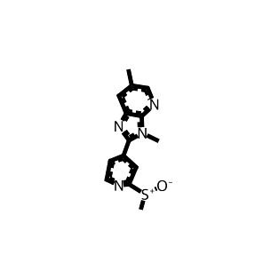 Cc1cnc2c(c1)nc(-c1ccnc([S+](C)[O-])c1)n2C